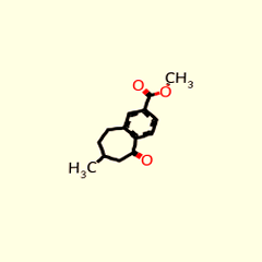 COC(=O)c1ccc2c(c1)CCC(C)CC2=O